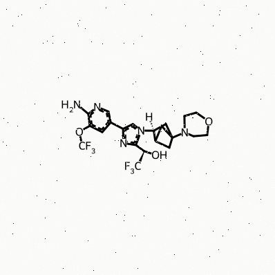 Nc1ncc(-c2cn([C@H]3CC4(N5CCOCC5)CC3C4)c([C@@H](O)C(F)(F)F)n2)cc1OC(F)(F)F